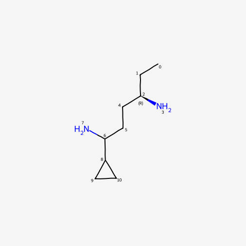 CC[C@@H](N)CCC(N)C1CC1